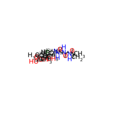 C=C(C)C(=O)NCC(=O)NCC(=O)NN=C1C=C[C@@]2(C)C(=C1)CC[C@H]1[C@@H]3C[C@@H](C)[C@](O)(C(=O)CO)[C@@]3(C)C[C@H](O)[C@@]12F